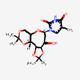 Cc1cn([C@@H]2OC3COC(C)(C)O[C@H]3C3OC(C)(C)OC3C2O)c(=O)[nH]c1=O